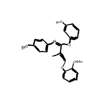 COc1ccc(/N=C(Oc2cccc(OC)c2)\C(C)=C\Oc2ccccc2OC)cc1